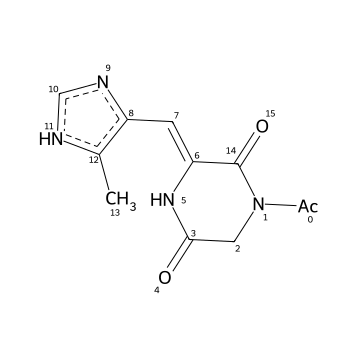 CC(=O)N1CC(=O)NC(=Cc2nc[nH]c2C)C1=O